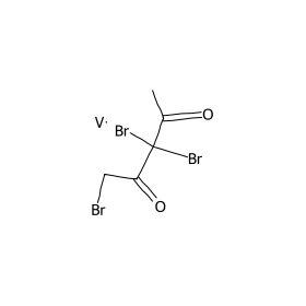 CC(=O)C(Br)(Br)C(=O)CBr.[V]